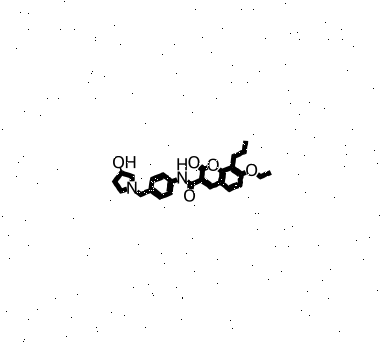 CCCc1c(OCC)ccc2cc(C(=O)Nc3ccc(CN4CC[C@H](O)C4)cc3)c(=O)oc12